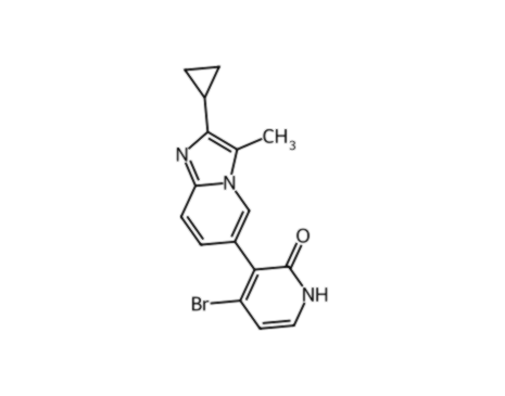 Cc1c(C2CC2)nc2ccc(-c3c(Br)cc[nH]c3=O)cn12